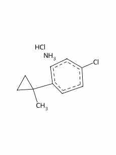 CC1(c2ccc(Cl)cc2)CC1.Cl.N